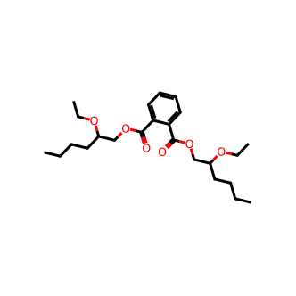 CCCCC(COC(=O)c1ccccc1C(=O)OCC(CCCC)OCC)OCC